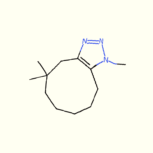 Cn1nnc2c1CCCCCC(C)(C)C2